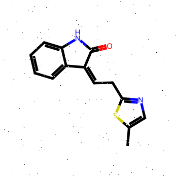 Cc1cnc(CC=C2C(=O)Nc3ccccc32)s1